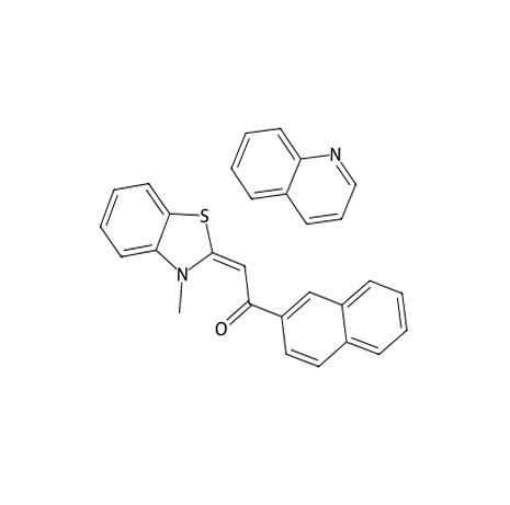 CN1C(=CC(=O)c2ccc3ccccc3c2)Sc2ccccc21.c1ccc2ncccc2c1